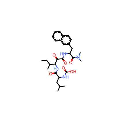 CCC(C)C(NC(=O)C(CC(C)C)NC(=O)O)C(=O)C(=O)NC(Cc1ccc2ccccc2c1)C(=O)N(C)C